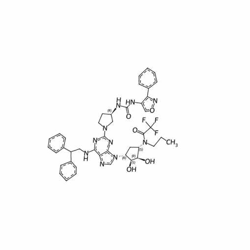 CCCN(C(=O)C(F)(F)F)[C@H]1C[C@@H](n2cnc3c(NCC(c4ccccc4)c4ccccc4)nc(N4CC[C@@H](NC(=O)Nc5conc5-c5ccccc5)C4)nc32)[C@H](O)[C@@H]1O